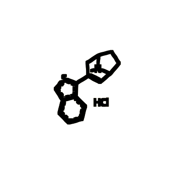 CN1C2C=C(c3scc4ccccc34)CC1CC2.Cl